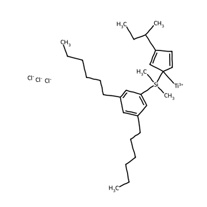 CCCCCCc1cc(CCCCCC)cc([Si](C)(C)[C]2([Ti+3])C=CC(C(C)CC)=C2)c1.[Cl-].[Cl-].[Cl-]